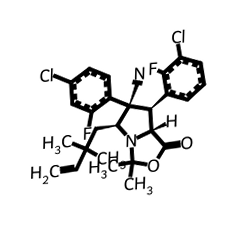 C=CC(C)(C)C[C@@H]1N2[C@@H](C(=O)OC2(C)C)[C@H](c2cccc(Cl)c2F)[C@@]1(C#N)c1ccc(Cl)cc1F